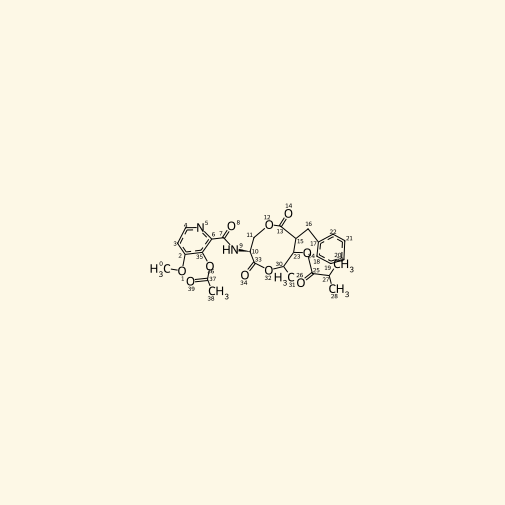 COc1ccnc(C(=O)N[C@H]2COC(=O)C(Cc3ccccc3)C(OC(=O)C(C)C)C(C)OC2=O)c1OC(C)=O